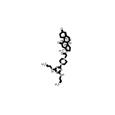 C=CCNc1nc(NCC=C)nc(N2CCN(CC(=O)[C@H]3CC[C@H]4[C@@H]5CCC6=CC(=O)CC[C@]6(C)[C@H]5C(=O)C[C@]34C)CC2)n1